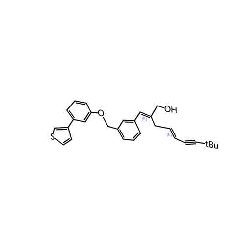 CC(C)(C)C#C/C=C/C/C(=C\c1cccc(COc2cccc(-c3ccsc3)c2)c1)CO